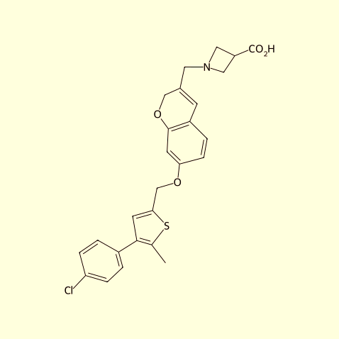 Cc1sc(COc2ccc3c(c2)OCC(CN2CC(C(=O)O)C2)=C3)cc1-c1ccc(Cl)cc1